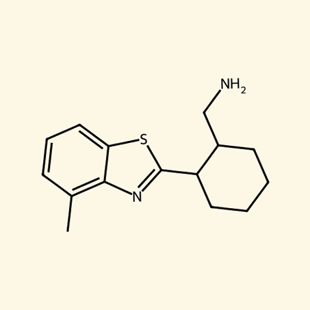 Cc1cccc2sc(C3CCCCC3CN)nc12